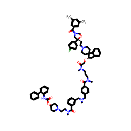 CN(Cc1ccc(C(=O)N(C)CCCN(C)C(=O)CO[C@H]2Cc3ccccc3C23CCN(CC[C@@]2(c4ccc(F)cc4)CN(C(=O)c4cc(C(F)(F)F)cc(C(F)(F)F)c4)CO2)CC3)cc1)Cc1cccc(C(=O)N(C)CCN2CCC(OC(=O)Nc3ccccc3-c3ccccc3)CC2)c1